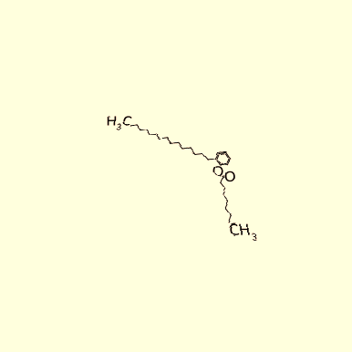 CCCCCCCCCCCCCCCCc1ccccc1OC(=O)CCCCCCCC